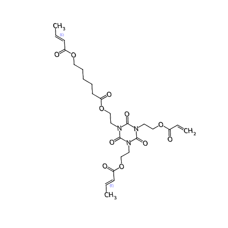 C=CC(=O)OCCn1c(=O)n(CCOC(=O)/C=C/C)c(=O)n(CCOC(=O)CCCCCOC(=O)/C=C/C)c1=O